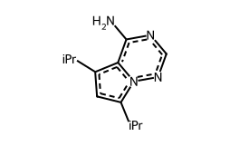 CC(C)c1cc(C(C)C)n2ncnc(N)c12